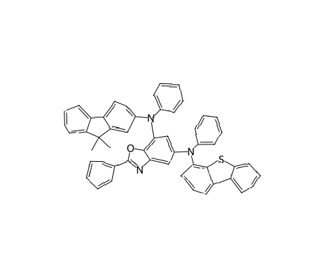 CC1(C)c2ccccc2-c2ccc(N(c3ccccc3)c3cc(N(c4ccccc4)c4cccc5c4sc4ccccc45)cc4nc(-c5ccccc5)oc34)cc21